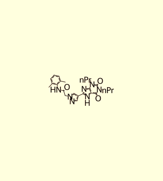 CCCn1c(=O)c2[nH]c(-c3cnn(CC(=O)Nc4c(C)cccc4C)c3)nc2n(CCC)c1=O